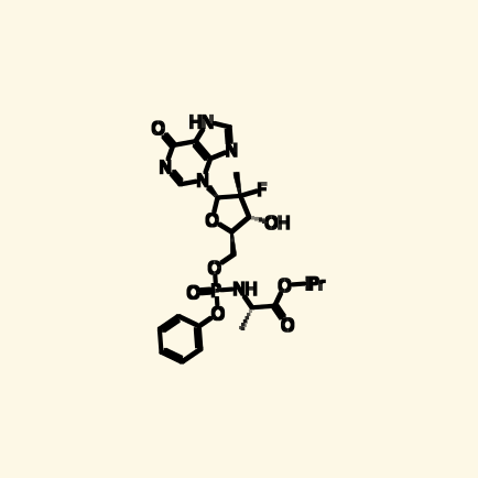 CC(C)OC(=O)[C@H](C)NP(=O)(OC[C@H]1O[C@@H](n2cnc(=O)c3[nH]cnc32)[C@](C)(F)[C@@H]1O)Oc1ccccc1